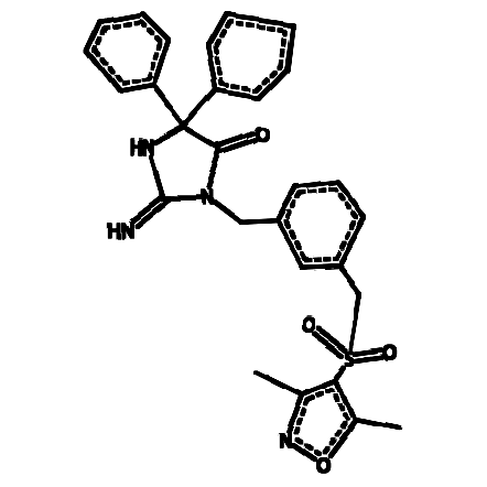 Cc1noc(C)c1S(=O)(=O)Cc1cccc(CN2C(=N)NC(c3ccccc3)(c3ccccc3)C2=O)c1